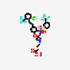 O=C(O)CCCN1CC2(C1)CN(S(=O)(=O)c1cccc(C(F)(F)F)c1)c1cc(/C=C/c3c(Cl)cccc3C(F)(F)F)ccc1O2